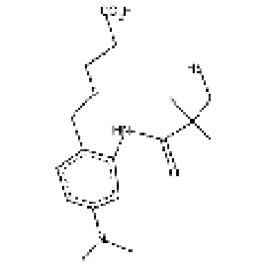 CN(C)c1ccc(CSCCC(=O)O)c(NC(=O)C(C)(C)CS)c1